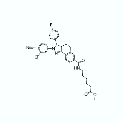 COC(=O)CCCCCNC(=O)c1ccc2c(c1)CCC1C2=NN(c2ccc(C#N)c(Cl)c2)C1c1ccc(F)cc1